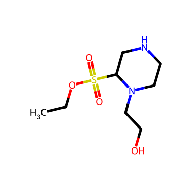 CCOS(=O)(=O)C1CNCCN1CCO